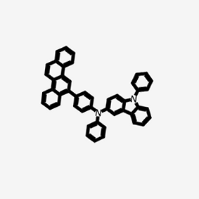 c1ccc(N(c2ccc(-c3cc4c5ccccc5ccc4c4ccccc34)cc2)c2ccc3c(c2)c2ccccc2n3-c2ccccc2)cc1